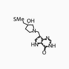 CSC[C@]1(O)CCN(Cc2c[nH]c3c(=O)[nH]cnc23)C1